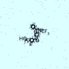 CC(C)(O)Cc1ccc(C(=O)N2CCC3(CC2)CN(CC(F)(F)F)CC(c2ccccc2)O3)cc1F